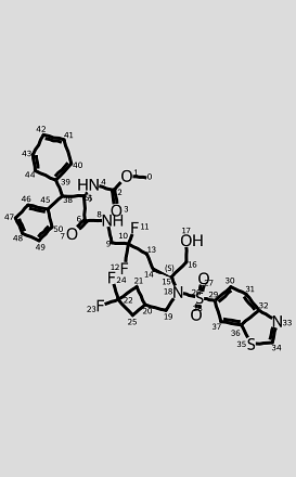 COC(=O)N[C@H](C(=O)NCC(F)(F)CC[C@@H](CO)N(CC1CC(F)(F)C1)S(=O)(=O)c1ccc2ncsc2c1)C(c1ccccc1)c1ccccc1